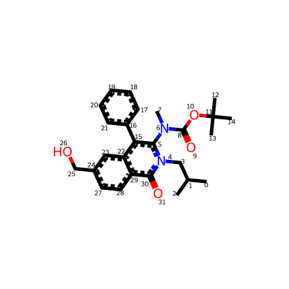 CC(C)Cn1c(N(C)C(=O)OC(C)(C)C)c(-c2ccccc2)c2cc(CO)ccc2c1=O